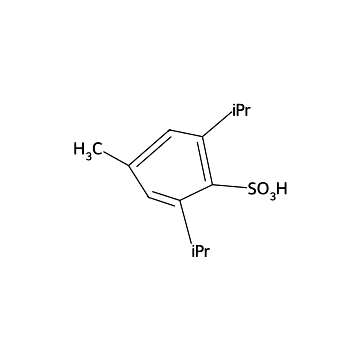 Cc1cc(C(C)C)c(S(=O)(=O)O)c(C(C)C)c1